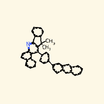 CC1(C)c2ccccc2-c2nc3ccc4ccccc4c3c(-c3ccc(-c4ccc5cc6ccccc6cc5c4)cc3)c21